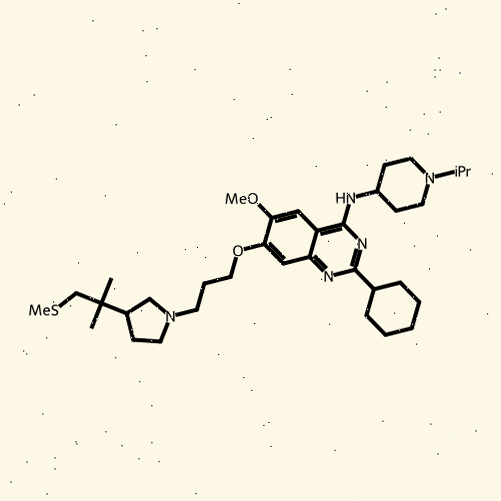 COc1cc2c(NC3CCN(C(C)C)CC3)nc(C3CCCCC3)nc2cc1OCCCN1CCC(C(C)(C)CSC)C1